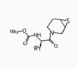 CC(C)[C@@H](NC(=O)OC(C)(C)C)C(=O)N1CCC2SC2C1